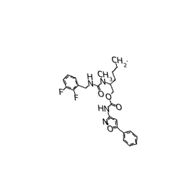 [CH2]CCC[C@@H](COC(=O)Nc1cc(-c2ccccc2)on1)N(C)C(=O)NCc1cccc(F)c1F